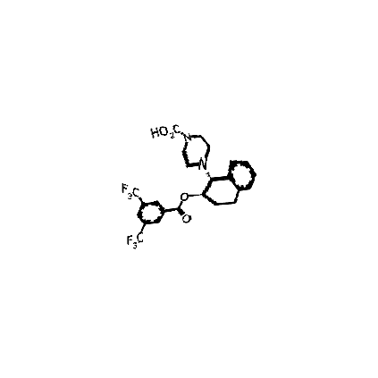 O=C(O[C@@H]1CCc2ccccc2[C@H]1N1CCN(C(=O)O)CC1)c1cc(C(F)(F)F)cc(C(F)(F)F)c1